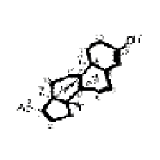 CC(=O)[C@H]1CC[C@H]2[C@@H]3CCC4C=C(O)CC[C@]4(C)[C@H]3CC[C@]12C